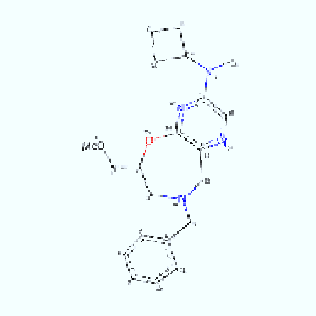 COC[C@H]1CN(Cc2ccccc2)Cc2ncc(N(C)C3CCC3)nc2O1